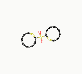 O=S(=O)(c1cccccccs1)c1cccccccs1